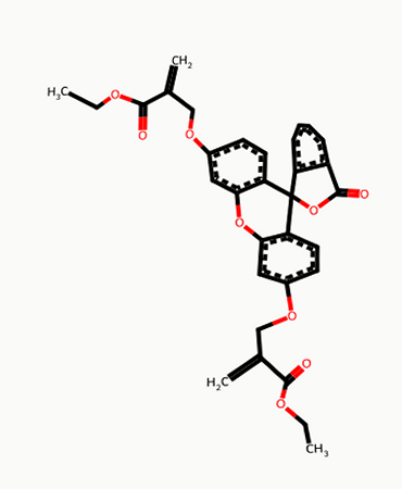 C=C(COc1ccc2c(c1)Oc1cc(OCC(=C)C(=O)OCC)ccc1C21OC(=O)c2ccccc21)C(=O)OCC